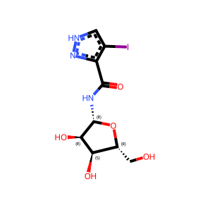 O=C(N[C@@H]1O[C@H](CO)[C@@H](O)[C@H]1O)c1n[nH]cc1I